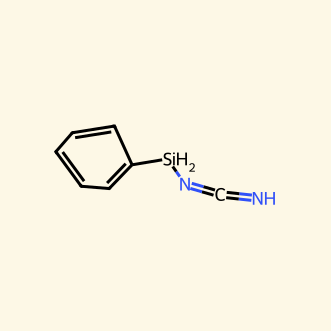 N=C=N[SiH2]c1ccccc1